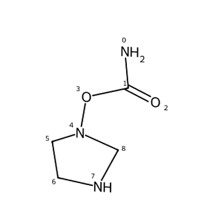 NC(=O)ON1CCNC1